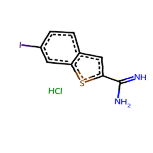 Cl.N=C(N)c1cc2ccc(I)cc2s1